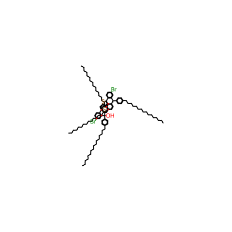 CCCCCCCCCCCCCCCCc1ccc([C](c2ccc(CCCCCCCCCCCCCCCC)cc2)c2cc(Br)ccc2-c2cc3sc(-c4ccc(Br)cc4C(O)(c4ccc(CCCCCCCCCCCCCCCC)cc4)c4ccc(CCCCCCCCCCCCCCCC)cc4)cc3s2)cc1